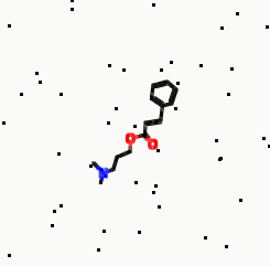 CN(C)CCCOC(=O)C=Cc1ccccc1